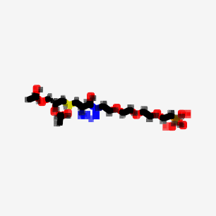 CC(=O)OC[C@H](CSC[C@H](N)C(=O)NCCOCCOCCOCCP(=O)(O)O)OC(C)=O